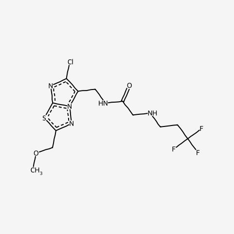 COCc1nn2c(CNC(=O)CNCCC(F)(F)F)c(Cl)nc2s1